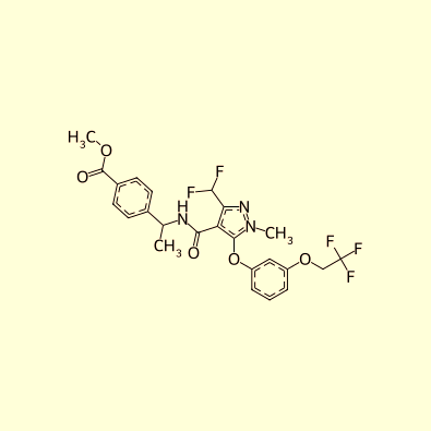 COC(=O)c1ccc(C(C)NC(=O)c2c(C(F)F)nn(C)c2Oc2cccc(OCC(F)(F)F)c2)cc1